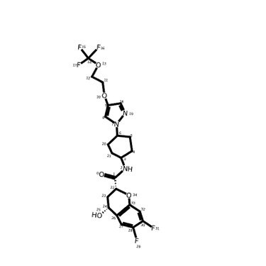 O=C(NC1CCC(n2cc(OCCOC(F)(F)F)cn2)CC1)[C@H]1C[C@@H](O)c2cc(F)c(F)cc2O1